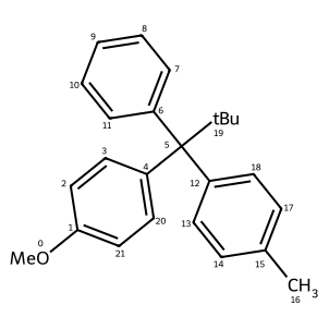 COc1ccc(C(c2ccccc2)(c2ccc(C)cc2)C(C)(C)C)cc1